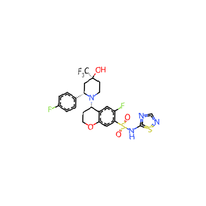 O=S(=O)(Nc1ncns1)c1cc2c(cc1F)[C@@H](N1CC[C@@](O)(C(F)(F)F)C[C@H]1c1ccc(F)cc1)CCO2